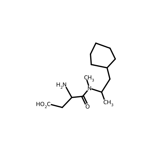 CC(CC1CCCCC1)N(C)C(=O)C(N)CC(=O)O